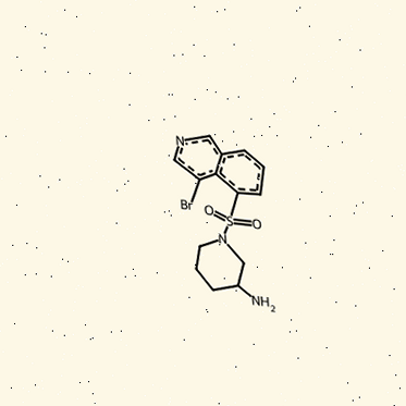 NC1CCCN(S(=O)(=O)c2cccc3cncc(Br)c23)C1